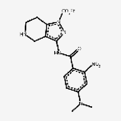 CCOC(=O)n1nc(NC(=O)c2ccc(N(C)C)cc2[N+](=O)[O-])c2c1CCNC2